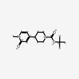 Cn1ccc(C2CCN(C(=O)OC(C)(C)C)CC2)cc1=O